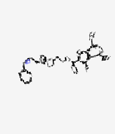 O=C(OCCOOC/C=C\c1ccccc1)c1sc2c(Br)sc(Br)c2c1F